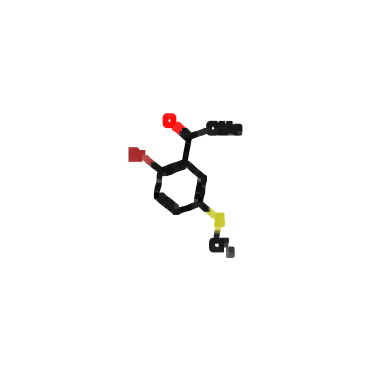 COC(=O)c1cc(SC(F)(F)F)ccc1Br